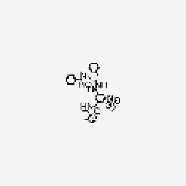 CCS(=O)(=O)Nc1cc(C(=O)NC(C)c2sccc2C)cc(C(=O)N[C@@H](Cc2ccccc2)[C@H](O)CN(C)[C@@H](C)c2ccccc2)c1